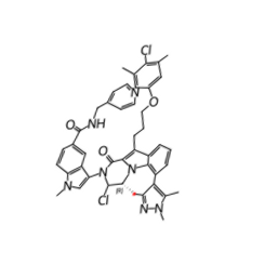 Cc1cc(OCCCc2c3n(c4c(-c5c(C)nn(C)c5C)cccc24)[C@H](C)C(Cl)N(c2cn(C)c4ccc(C(=O)NCc5ccncc5)cc24)C3=O)cc(C)c1Cl